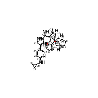 CC(=O)c1c([C@@H]2C[C@H]3CC[C@@H](C2)N3C(=O)c2ncn[nH]2)nc2c(-c3ccc(NC4CC4)nc3)cnn2c1N